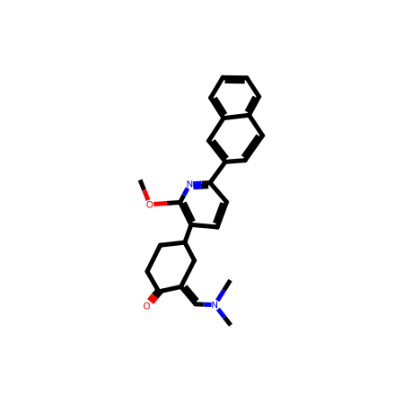 COc1nc(-c2ccc3ccccc3c2)ccc1C1CCC(=O)C(=CN(C)C)C1